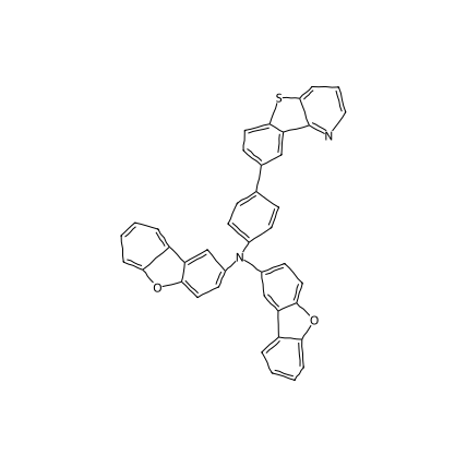 c1ccc2c(c1)oc1ccc(N(c3ccc(-c4ccc5sc6cccnc6c5c4)cc3)c3ccc4oc5ccccc5c4c3)cc12